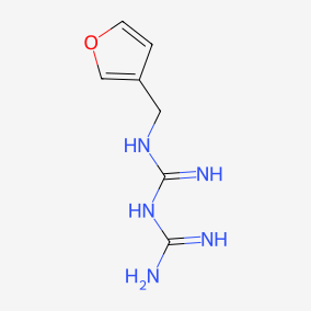 N=C(N)NC(=N)NCc1ccoc1